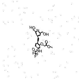 CCOC(=O)COc1cc(NC(=O)C(F)(F)F)ccc1C#Cc1cc(CO)nc(CO)c1